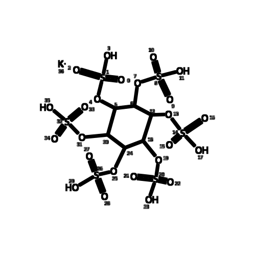 O=S(=O)(O)OC1C(OS(=O)(=O)O)C(OS(=O)(=O)O)C(OS(=O)(=O)O)C(OS(=O)(=O)O)C1OS(=O)(=O)O.[K]